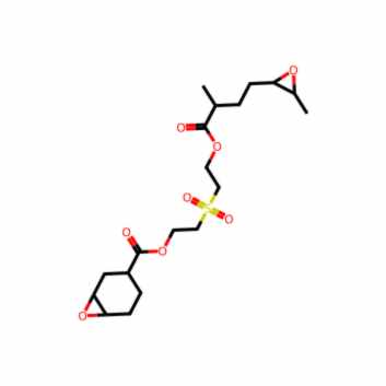 CC(CCC1OC1C)C(=O)OCCS(=O)(=O)CCOC(=O)C1CCC2OC2C1